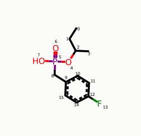 CCC(C)OP(=O)(O)Cc1ccc(F)cc1